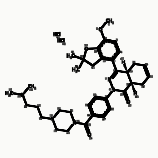 COc1ccc(C2=NN(c3ccc(C(=O)N4CCN(CCCN(C)C)CC4)cc3)C(=O)[C@@H]3CC=CC[C@H]23)c2c1OC(C)(C)C2.Cl.Cl